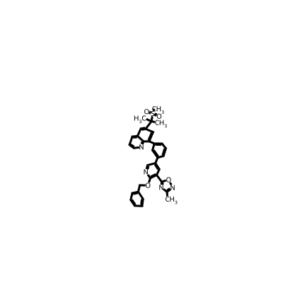 Cc1noc(-c2cc(-c3cccc(-c4cc(C(C)(C)S(C)(=O)=O)cc5cccnc45)c3)cnc2OCc2ccccc2)n1